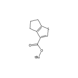 CC(C)(C)OC(=O)c1csc2c1CCC2